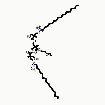 CCCCCCCCCCCCCCCC/P=[SH](=P)/OCC(C)(CO)C(=O)OCC(C)(COC(=O)C(C)(CO)CO/S(CCCCCCCCCCCCCCCC)=P/P)C(=O)OCCOCC